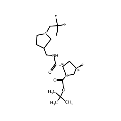 CC(C)(C)OC(=O)N1C[C@H](F)C[C@H]1C(=O)NCC1CCN(CC(F)(F)F)C1